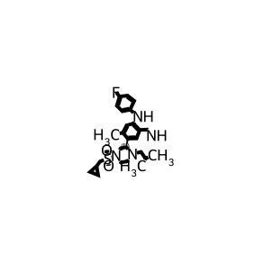 Cc1cc(Nc2ccc(F)cc2)c(C=N)cc1[C@@H]1CN(S(=O)(=O)CC2CC2)CCN1CC(C)C